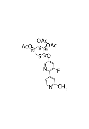 CC(=O)O[C@@H]1[C@@H](OC(C)=O)[C@@H](Oc2cnc(-c3ccnc(C)c3)c(F)c2)SC[C@H]1OC(C)=O